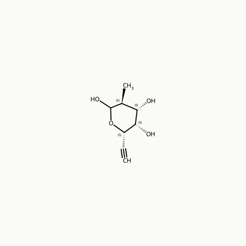 C#C[C@@H]1OC(O)[C@@H](C)[C@H](O)[C@@H]1O